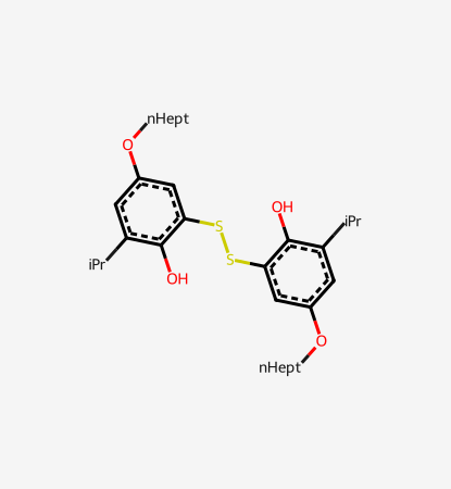 CCCCCCCOc1cc(SSc2cc(OCCCCCCC)cc(C(C)C)c2O)c(O)c(C(C)C)c1